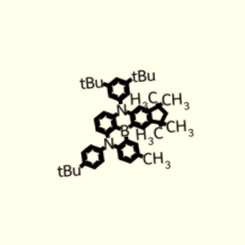 Cc1ccc2c(c1)B1c3cc4c(cc3N(c3cc(C(C)(C)C)cc(C(C)(C)C)c3)c3cccc(c31)N2c1ccc(C(C)(C)C)cc1)C(C)(C)CC4(C)C